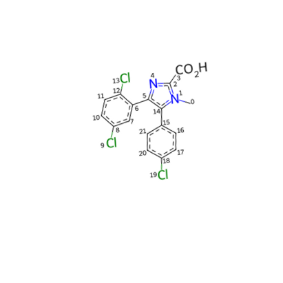 Cn1c(C(=O)O)nc(-c2cc(Cl)ccc2Cl)c1-c1ccc(Cl)cc1